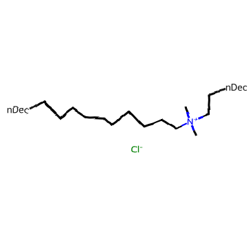 CCCCCCCCCCCCCCCCCCCC[N+](C)(C)CCCCCCCCCCCC.[Cl-]